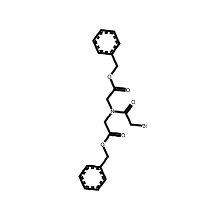 O=C(CN(CC(=O)OCc1ccccc1)C(=O)CBr)OCc1ccccc1